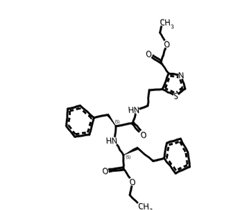 CCOC(=O)c1ncsc1CCNC(=O)[C@H](Cc1ccccc1)N[C@@H](CCc1ccccc1)C(=O)OCC